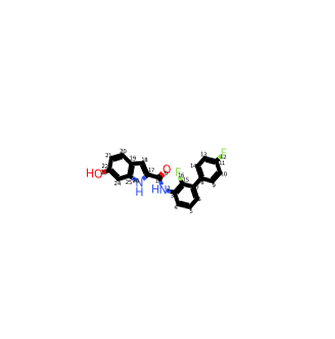 O=C(Nc1cccc(-c2ccc(F)cc2)c1F)c1cc2ccc(O)cc2[nH]1